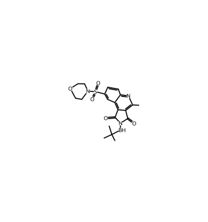 Cc1nc2ccc(S(=O)(=O)N3CCOCC3)cc2c2c1C(=O)N(BC(C)(C)C)C2=O